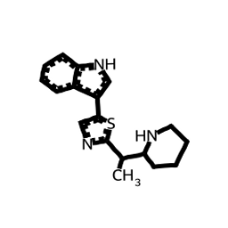 CC(c1ncc(-c2c[nH]c3ccccc23)s1)C1CCCCN1